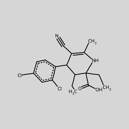 CCC1C(c2ccc(Cl)cc2Cl)C(C#N)=C(C)NC1(CC)C(=O)O